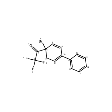 O=C(C(F)(F)F)C1(Br)C=CC(c2ccccc2)=CC1